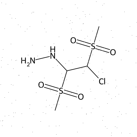 CS(=O)(=O)C(Cl)C(NN)S(C)(=O)=O